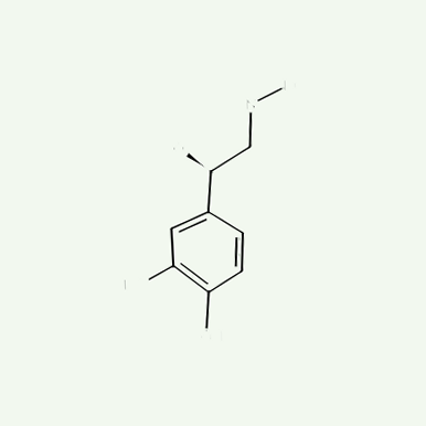 CCNC[C@H](O)c1ccc(O)c(O)c1